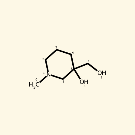 CN1CCCC(O)(CO)C1